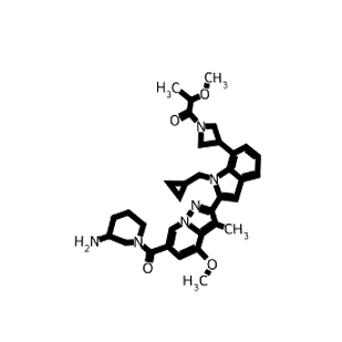 COc1cc(C(=O)N2CCCC(N)C2)cn2nc(-c3cc4cccc(C5CN(C(=O)C(C)OC)C5)c4n3CC3CC3)c(C)c12